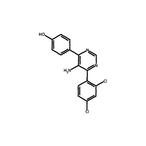 Nc1c(-c2ccc(O)cc2)ncnc1-c1ccc(Cl)cc1Cl